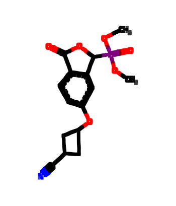 COP(=O)(OC)C1OC(=O)c2ccc(OC3CC(C#N)C3)cc21